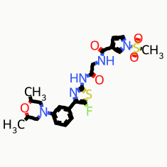 CC1CN(c2cccc(-c3nc(NC(=O)CNC(=O)c4ccn(S(C)(=O)=O)c4)sc3F)c2)CC(C)O1